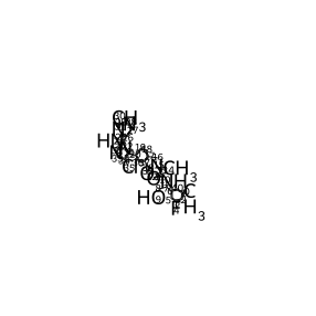 Cc1cc(F)cc(C(CO)NC(=O)C(C)N2Cc3ccc(-c4nc(Nc5ccnc(C)n5)ncc4Cl)cc3C2=O)c1